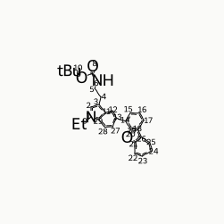 CCn1cc(CCNC(=O)OC(C)(C)C)c2cc(-c3cccc4c3oc3ccccc34)ccc21